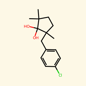 CC1(C)CCC(C)(Cc2ccc(Cl)cc2)C1(O)O